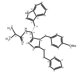 COc1ccc(Cn2c(CCc3ccccc3)nnc2[C@@H](Cc2c[nH]c3ccccc23)NC(=O)C(C)N)cc1